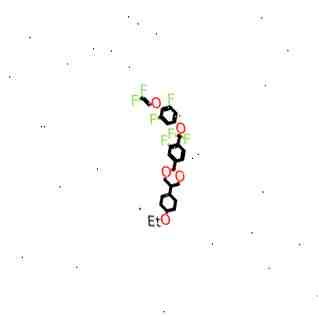 CCOC1CCC(C2COC(c3ccc(C(F)(F)Oc4cc(F)c(OC=C(F)F)c(F)c4)c(F)c3)OC2)CC1